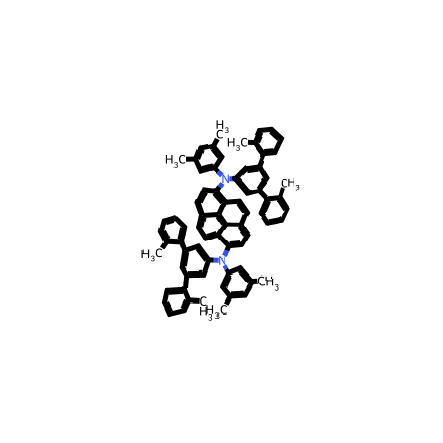 Cc1cc(C)cc(N(c2cc(-c3ccccc3C)cc(-c3ccccc3C)c2)c2ccc3ccc4c(N(c5cc(C)cc(C)c5)c5cc(-c6ccccc6C)cc(-c6ccccc6C)c5)ccc5ccc2c3c54)c1